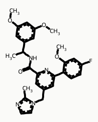 COc1cc(OC)cc(C(C)NC(=O)c2cc(Cn3ccnc3C)cc(-c3ccc(F)cc3OC)n2)c1